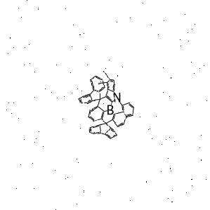 Cc1ccc2c(c1C)c1c3n2-c2cccc4ccc5c(c24)B3c2c(cccc2C12c1ccccc1-c1ccccc12)C51c2ccccc2-c2ccccc21